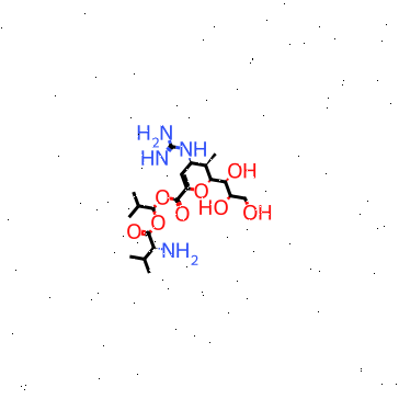 CC(C)C(OC(=O)C1=C[C@H](NC(=N)N)[C@@H](C)[C@H]([C@H](O)[C@H](O)CO)O1)OC(=O)[C@H](N)C(C)C